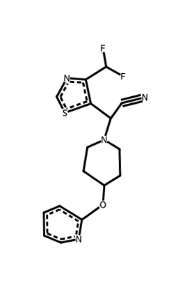 N#CC(c1scnc1C(F)F)N1CCC(Oc2ccccn2)CC1